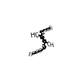 C#Cc1cc(-c2cc(C#C)c(-c3ccc(COCOCOCC)s3)s2)sc1-c1ccc(COCOCOCC)s1